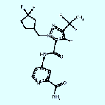 CC(F)(F)c1nn(CC2CCC(F)(F)C2)c(C(=O)Nc2ccnc(C(N)=O)c2)c1Cl